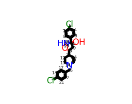 OC1(c2ccc(Cl)cc2)CC(C2CCN(Cc3ccc(Cl)cc3)CC2)ON1